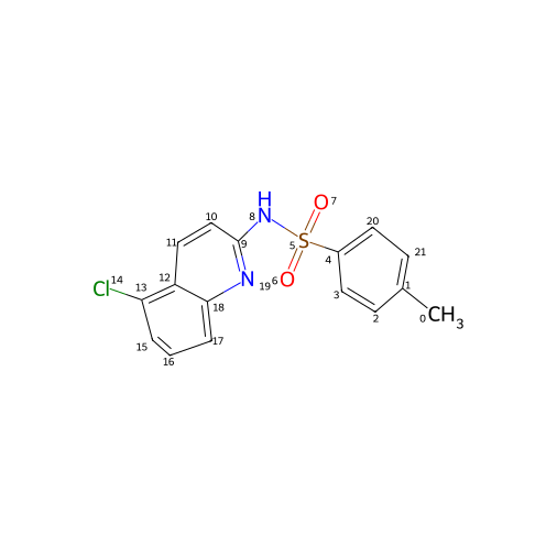 Cc1ccc(S(=O)(=O)Nc2ccc3c(Cl)cccc3n2)cc1